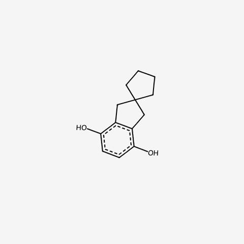 Oc1ccc(O)c2c1CC1(CCCC1)C2